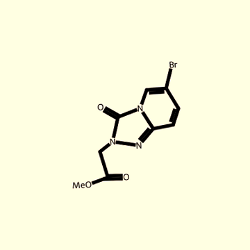 COC(=O)Cn1nc2ccc(Br)cn2c1=O